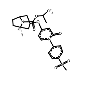 CC(OC(=O)N1C2CC[C@@H]1CC(Oc1ccn(-c3ccc(S(C)(=O)=O)cc3)c(=O)c1)C2)C(F)(F)F